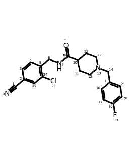 N#Cc1ccc(CNC(=O)C2CCN(Cc3ccc(F)cc3)CC2)c(Cl)c1